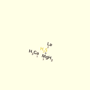 S.[GaH3].[La].[MgH2]